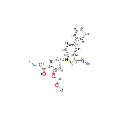 CCOC(=O)c1ccc(-n2cc(C#N)c3cc(-c4ccccc4)ccc32)cc1OCOC